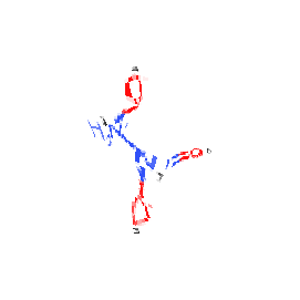 O=[N+]([O-])[NH2+][O-]